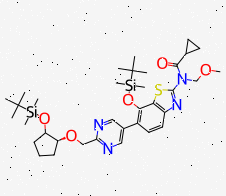 COCN(C(=O)C1CC1)c1nc2ccc(-c3cnc(CO[C@H]4CCCC4O[Si](C)(C)C(C)(C)C)nc3)c(O[Si](C)(C)C(C)(C)C)c2s1